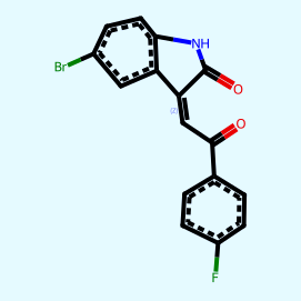 O=C1Nc2ccc(Br)cc2/C1=C/C(=O)c1ccc(F)cc1